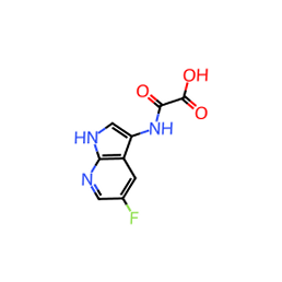 O=C(O)C(=O)Nc1c[nH]c2ncc(F)cc12